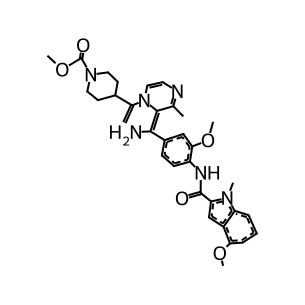 C=C(C1CCN(C(=O)OC)CC1)N1C=CN=C(C)/C1=C(/N)c1ccc(NC(=O)c2cc3c(OC)cccc3n2C)c(OC)c1